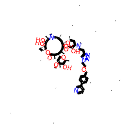 CC[C@H]1OC(=O)[C@H](C)[C@@H](C2C[C@@](C)(OC)[C@@H](O)[C@H](C)O2)[C@H](C)[C@@H](O[C@@H]2O[C@H](C)C[C@H](N(C)CCc3cn(CCOCc4ccc(-c5cccnc5)cc4)nn3)[C@H]2O)[C@](C)(O)C[C@@H](C)CN(C)[C@H](C)[C@@H](O)[C@]1(C)O